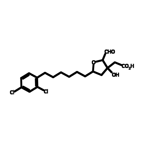 O=CC1OC(CCCCCCc2ccc(Cl)cc2Cl)CC1(O)CC(=O)O